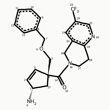 N[C@@H]1C=C[C@](COCc2ccccc2)(C(=O)N2CCc3ncc(C(F)(F)F)cc3C2)C1